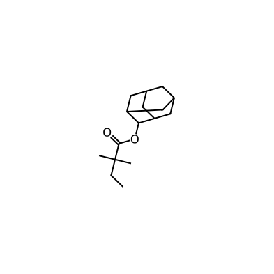 CCC(C)(C)C(=O)OC1C2CC3CC(C2)CC1C3